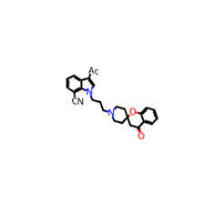 CC(=O)c1cn(CCCN2CCC3(CC2)CC(=O)c2ccccc2O3)c2c(C#N)cccc12